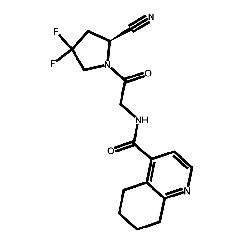 N#C[C@@H]1CC(F)(F)CN1C(=O)CNC(=O)c1ccnc2c1CCCC2